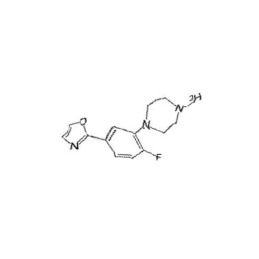 [2H]N1CCN(c2cc(-c3ncco3)ccc2F)CC1